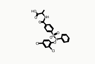 CC(NC(=O)c1ccc(S(=O)(=O)N(Oc2ccc(Cl)cc2Cl)c2ccccc2)cc1)C(=O)O